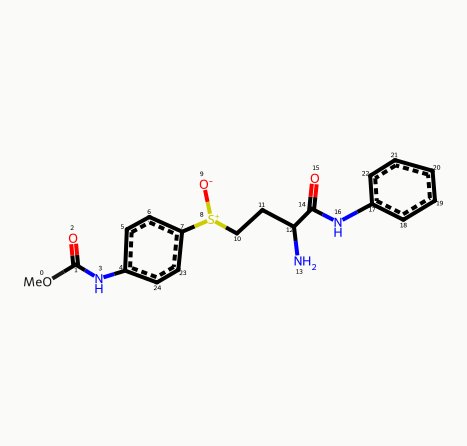 COC(=O)Nc1ccc([S+]([O-])CCC(N)C(=O)Nc2ccccc2)cc1